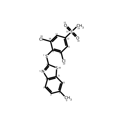 Cc1ccc2nc(Sc3c(Cl)cc(S(C)(=O)=O)cc3Cl)sc2c1